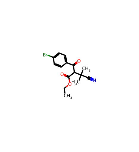 CCOC(=O)C(C(=O)c1ccc(Br)cc1)C(C)(C)C#N